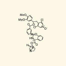 COc1ccc(C(Cc2c(Cl)c[n+]([O-])cc2Cl)OC(=O)c2cccc(CN[C@H](C(=O)O[C@H]3CN4CCC3CC4)c3ccccc3OC)c2)cc1OC